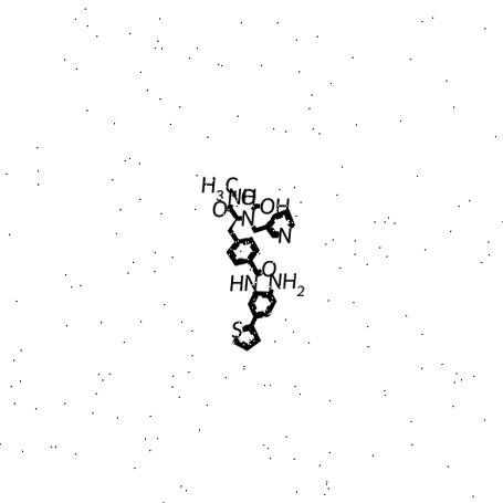 CNC(=O)[C@H](Cc1ccc(C(=O)Nc2cc(-c3cccs3)ccc2N)cc1)N(Cc1cccnc1)C(=O)O